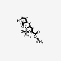 CCOC(=O)/C=C/[C@H](C[C@@H]1CCNC1=O)NS(C)(=O)=O